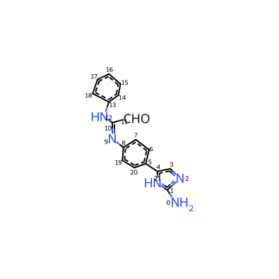 Nc1ncc(-c2ccc(/N=C(\C=O)Nc3ccccc3)cc2)[nH]1